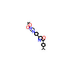 CC(C)c1ccc(-c2coc3cc(-c4ccc(N5CCN(C(=O)OC(C)(C)C)CC5)cc4)cnc23)cc1